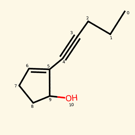 CCCC#CC1=CCCC1O